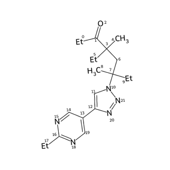 CCC(=O)C(C)(CC)CC(C)(CC)n1cc(-c2cnc(CC)nc2)nn1